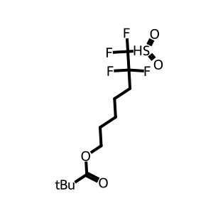 CC(C)(C)C(=O)OCCCCCC(F)(F)C(F)(F)[SH](=O)=O